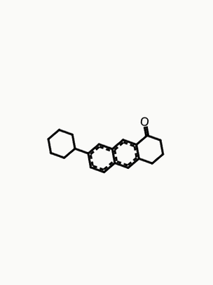 O=C1CCCc2cc3ccc(C4CCCCC4)cc3cc21